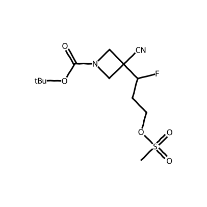 CC(C)(C)OC(=O)N1CC(C#N)(C(F)CCOS(C)(=O)=O)C1